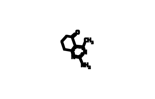 Cc1nc(N)nc2c1C(=O)CCC2